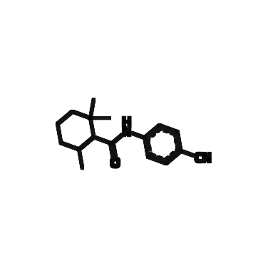 CC1CCCC(C)(C)C1C(=O)Nc1ccc(C#N)cc1